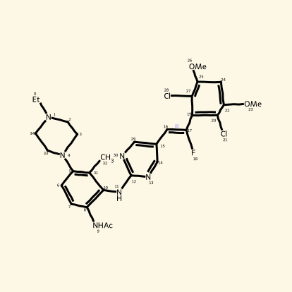 CCN1CCN(c2ccc(NC(C)=O)c(Nc3ncc(/C=C(\F)c4c(Cl)c(OC)cc(OC)c4Cl)cn3)c2C)CC1